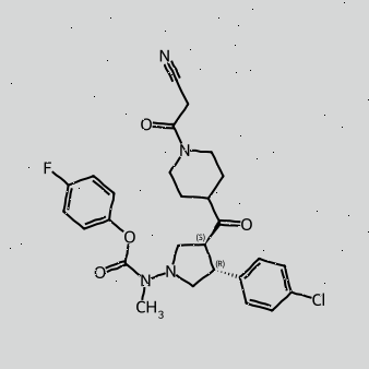 CN(C(=O)Oc1ccc(F)cc1)N1C[C@@H](C(=O)C2CCN(C(=O)CC#N)CC2)[C@H](c2ccc(Cl)cc2)C1